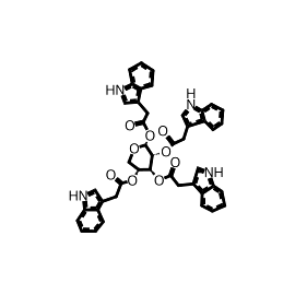 O=C(Cc1c[nH]c2ccccc12)O[C@H]1OC[C@H](OC(=O)Cc2c[nH]c3ccccc23)[C@H](OC(=O)Cc2c[nH]c3ccccc23)[C@H]1OC(=O)Cc1c[nH]c2ccccc12